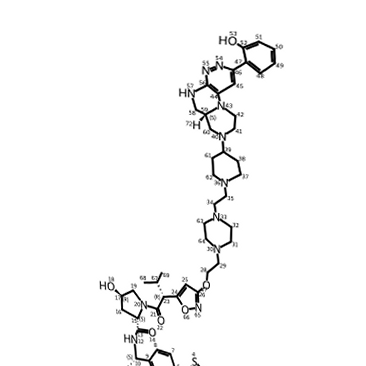 Cc1ncsc1-c1ccc([C@H](C)NC(=O)[C@@H]2C[C@@H](O)CN2C(=O)[C@@H](c2cc(OCCN3CCN(CCN4CCC(N5CCN6c7cc(-c8ccccc8O)nnc7NC[C@H]6C5)CC4)CC3)no2)C(C)C)cc1